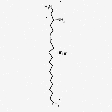 CCCCCCCCCCCCCCCCCCC(N)CCN.F.F